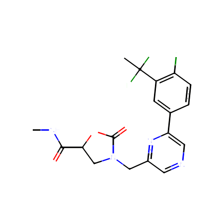 CNC(=O)C1CN(Cc2cncc(-c3ccc(F)c(C(C)(F)F)c3)n2)C(=O)O1